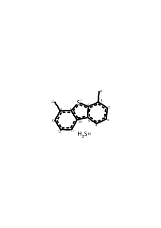 Cc1cccc2c1sc1c(C)cccc12.S